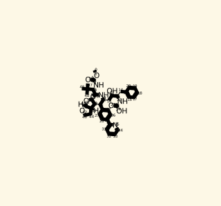 COC(=O)N[C@H](C(=O)N[C@H](C[C@@H](O)[C@H](Cc1ccccc1)NC(=O)O)C(c1ccc(-c2ccccn2)cc1)[C@H]1CO[C@H]2OCC[C@H]21)C(C)(C)C